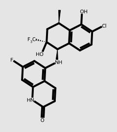 C[C@@H]1C[C@@](O)(C(F)(F)F)[C@H](Nc2cc(F)cc3[nH]c(=O)ccc23)c2ccc(Cl)c(O)c21